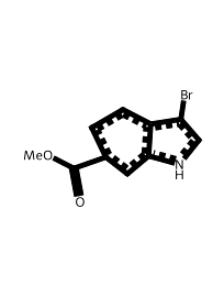 COC(=O)c1ccc2c(Br)c[nH]c2c1